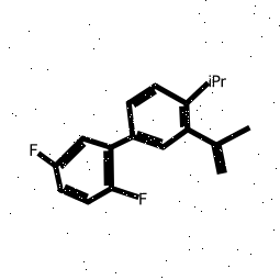 C=C(C)c1cc(-c2cc(F)ccc2F)ccc1C(C)C